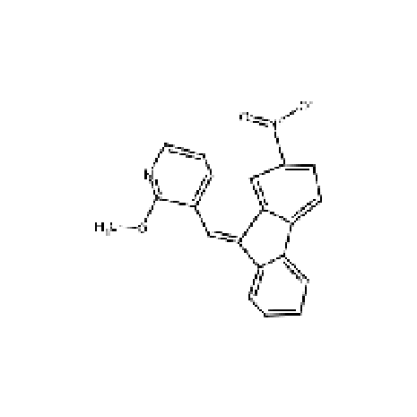 COc1ncccc1C=C1c2ccccc2-c2ccc([N+](=O)[O-])cc21